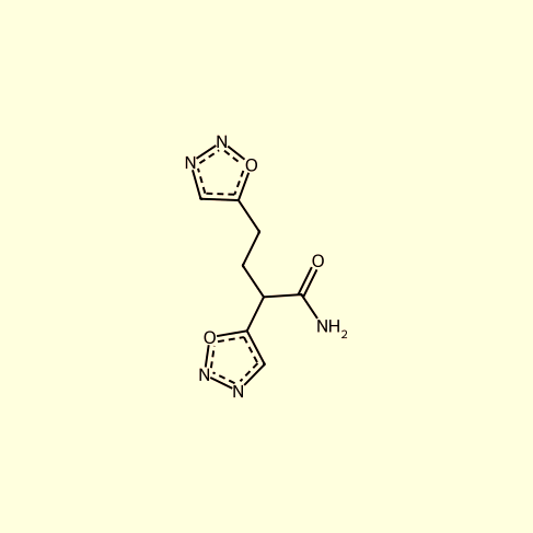 NC(=O)C(CCc1cnno1)c1cnno1